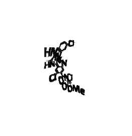 COC(=O)[C@H]1CCCN1C(=O)c1cc2ncnc(N[C@H](C)c3nc4cc(Cl)ccc4[nH]3)c2cc1Cl